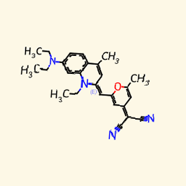 CCN(CC)c1ccc2c(c1)N(CC)/C(=C/C1=CC(=C(C#N)C#N)C=C(C)O1)C=C2C